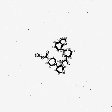 CC(C)(C)OC(=O)N1CCN(c2ccncc2NC(=O)c2ccnc(-c3cccc4ccsc34)n2)CC1